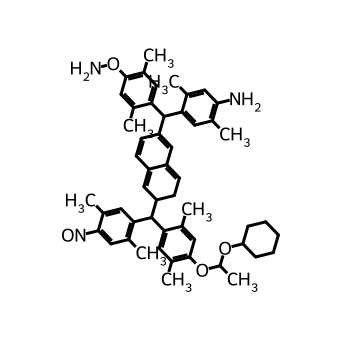 Cc1cc(C(c2ccc3c(c2)=CCC(C(c2cc(C)c(N=O)cc2C)c2cc(C)c(OC(C)OC4CCCCC4)cc2C)C=3)c2cc(C)c(ON)cc2C)c(C)cc1N